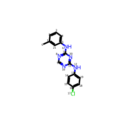 Cc1cccc(Nc2ncnc(Nc3ccc(Cl)cc3)n2)c1